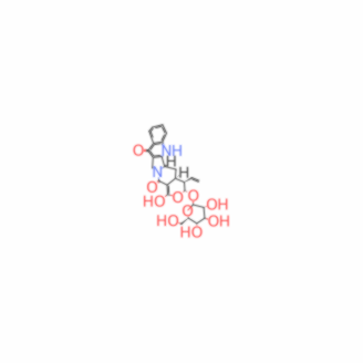 C=C[C@H]1[C@H](O[C@@H]2O[C@H](CO)[C@@H](O)[C@H](O)[C@H]2O)OC(O)=C2C(=O)N3Cc4c([nH]c5ccccc5c4=O)[C@@H]3C[C@H]21